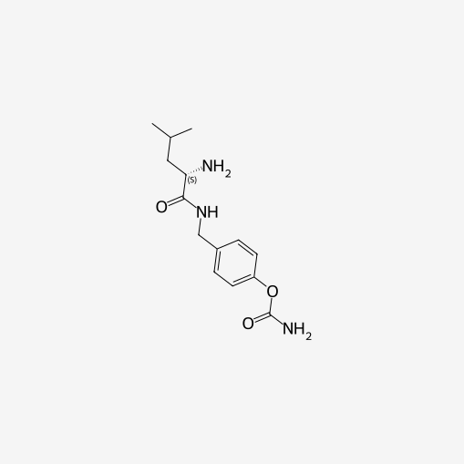 CC(C)C[C@H](N)C(=O)NCc1ccc(OC(N)=O)cc1